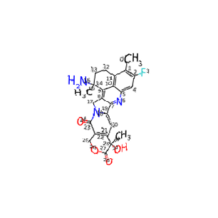 Cc1c(F)cc2nc3c(c4c2c1CCC4(C)N)Cn1c-3cc2c(c1=O)COC(=O)[C@@]2(C)O